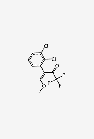 COC=C(C(=O)C(F)(F)F)c1cccc(Cl)c1Cl